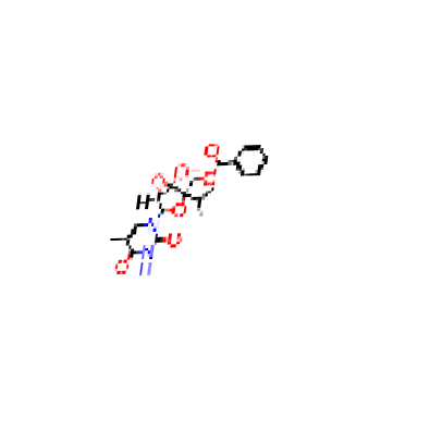 Cc1cn([C@@H]2O[C@@](COC(=O)c3ccccc3)(C(C)C)[C@]3(O)O[C@@H]23)c(=O)[nH]c1=O